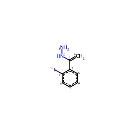 C=C(NN)c1ccccc1I